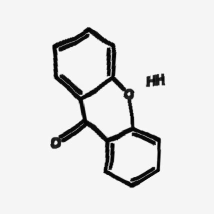 O=c1c2ccccc2oc2ccccc12.[HH]